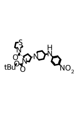 CC(C)(C)OC(=O)N1C[C@@H](N2CCC(Nc3ccc([N+](=O)[O-])cc3)CC2)C[C@H]1C(=O)N1CCSC1